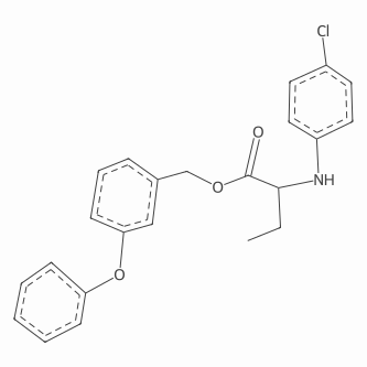 CCC(Nc1ccc(Cl)cc1)C(=O)OCc1cccc(Oc2ccccc2)c1